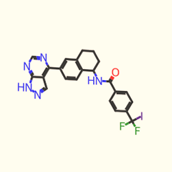 O=C(NC1CCCc2cc(-c3ncnc4[nH]ncc34)ccc21)c1ccc(C(F)(F)I)cc1